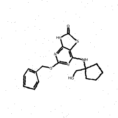 O=c1[nH]c2nc(OCc3ccccc3)nc(NC3(CO)CCCC3)c2s1